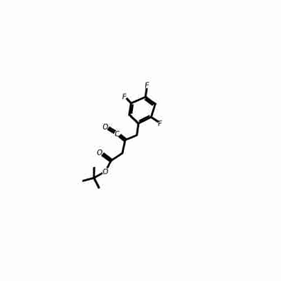 CC(C)(C)OC(=O)CC(=C=O)Cc1cc(F)c(F)cc1F